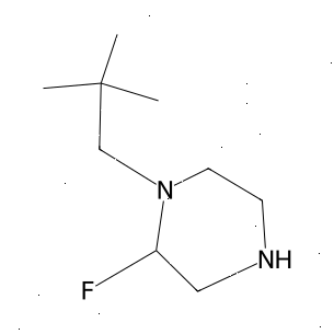 CC(C)(C)CN1CCNCC1F